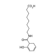 O=C(O)CCCCCCCNC(=O)C1CC=CC=C1O